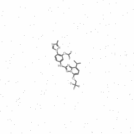 Cc1ncn(-c2ccc(Nc3nc4c(C(C)C)ccc(OCC(F)(F)F)n4n3)cc2OC(F)F)n1